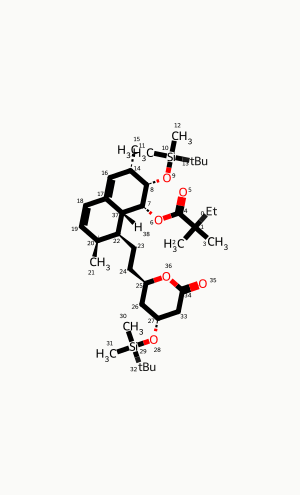 CCC(C)(C)C(=O)O[C@H]1[C@@H](O[Si](C)(C)C(C)(C)C)[C@@H](C)C=C2C=C[C@H](C)[C@H](CC[C@@H]3C[C@@H](O[Si](C)(C)C(C)(C)C)CC(=O)O3)[C@H]21